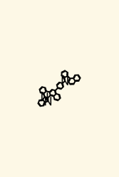 c1ccc2c(c1)ccc1c2c2ccccc2n1-c1ccc(-c2cc3c4ccccc4n4c5ccccc5nc4c3c3ccccc23)cc1